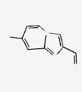 O=Cc1cn2ccc(Br)cc2n1